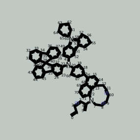 C=C/C=C\C(=C)N1C/C=C\C=C/Cc2ccc(-c3ccc(N(c4ccc5c(c4)C4(c6ccccc6-c6ccccc64)c4ccccc4-5)c4ccc5c(c4)c4ccccc4n5-c4ccccc4)cc3)c3cccc1c23